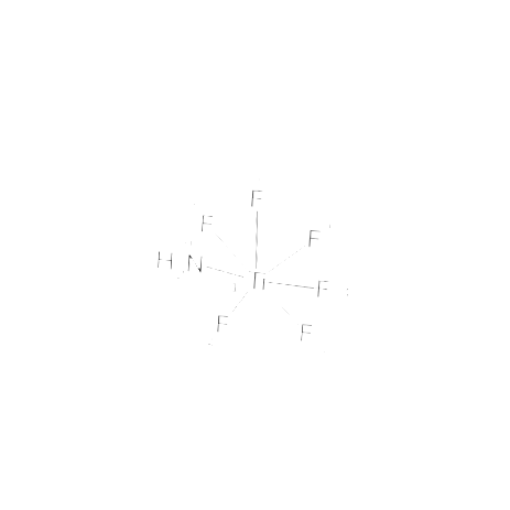 [NH2][Ti]([F])([F])([F])([F])([F])[F]